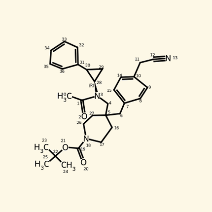 CC(=O)N(CC1(Cc2ccc(CC#N)cc2)CCN(C(=O)OC(C)(C)C)CC1)[C@@H]1CC1c1ccccc1